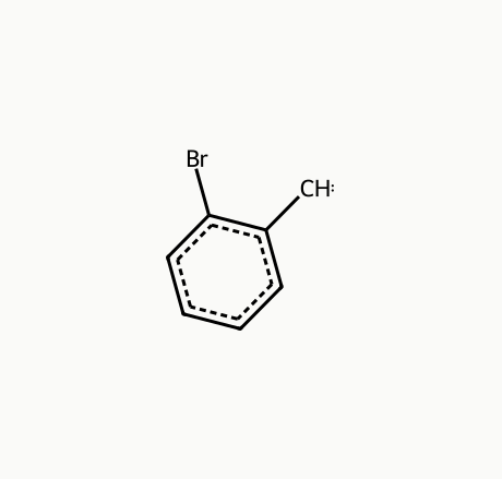 [CH]c1ccccc1Br